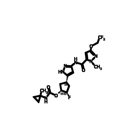 Cn1nc(OCC(F)(F)F)cc1C(=O)Nc1cc([C@@H]2C[C@H](F)[C@H](OC(=O)NC3(C)CC3)C2)[nH]n1